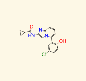 O=C(Nc1cn2c(-c3cc(Cl)ccc3O)cccc2n1)C1CC1